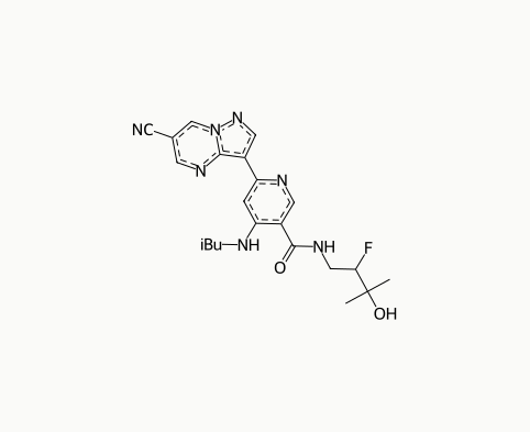 CCC(C)Nc1cc(-c2cnn3cc(C#N)cnc23)ncc1C(=O)NCC(F)C(C)(C)O